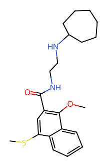 COc1c(C(=O)NCCNC2CCCCCC2)cc(SC)c2ccccc12